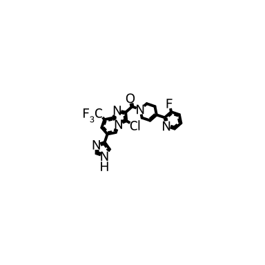 O=C(c1nc2c(C(F)(F)F)cc(-c3c[nH]cn3)cn2c1Cl)N1CC=C(c2ncccc2F)CC1